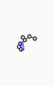 c1ccc(-c2cccc(-c3ccc(-c4ccc5ccc6cccnc6c5n4)c4ccccc34)c2)cc1